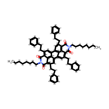 CCCCCCCCN1C(=O)c2c(CCc3ccccc3)cc3c4cc(CCc5ccccc5)c5c6c(c(CCc7ccccc7)cc(c7cc(CCc8ccccc8)c(c2c37)C1=O)c64)C(=O)N(CCCCCCCC)C5=O